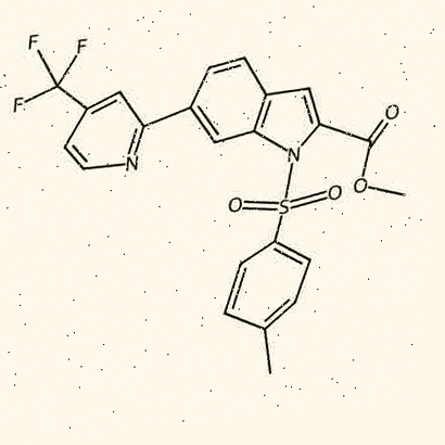 COC(=O)c1cc2ccc(-c3cc(C(F)(F)F)ccn3)cc2n1S(=O)(=O)c1ccc(C)cc1